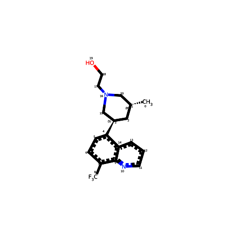 C[C@@H]1C[C@@H](c2ccc(C(F)(F)F)c3ncccc23)CN(CCO)C1